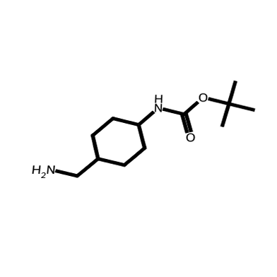 CC(C)(C)OC(=O)NC1CCC(CN)CC1